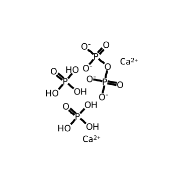 O=P(O)(O)O.O=P(O)(O)O.O=P([O-])([O-])OP(=O)([O-])[O-].[Ca+2].[Ca+2]